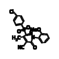 COc1ccccc1-n1nc(S(=O)(=O)c2ccc(Cl)cc2)c(C)c(C#N)c1=O